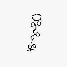 CC(C)(C)OC(=O)CCOC(=O)/C=C/C(=O)OC1CCCCCCC1